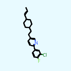 CC=CC1CCC(CCc2ccc(-c3ccc(F)c(Cl)c3)nc2)CC1